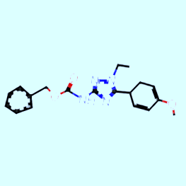 CCn1nc(NC(=O)OCc2ccccc2)nc1C1C=CC(OC)=CC1